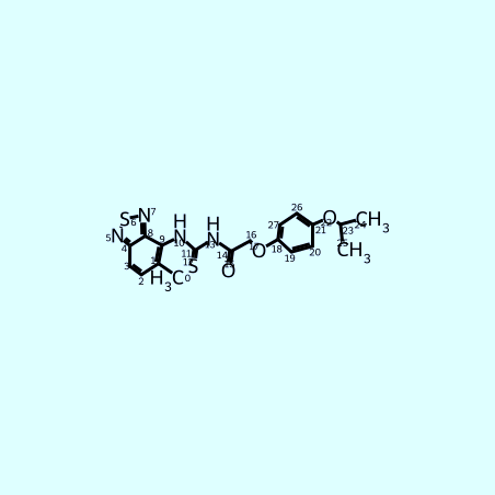 Cc1ccc2nsnc2c1NC(=S)NC(=O)COc1ccc(OC(C)C)cc1